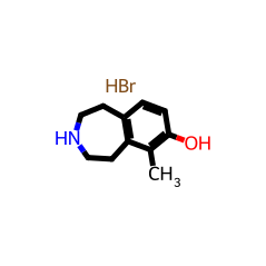 Br.Cc1c(O)ccc2c1CCNCC2